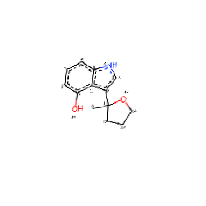 CC1(c2c[nH]c3cccc(O)c23)CCCO1